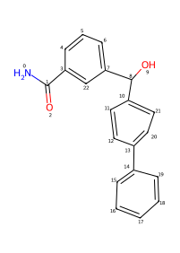 NC(=O)c1cccc(C(O)c2ccc(-c3ccccc3)cc2)c1